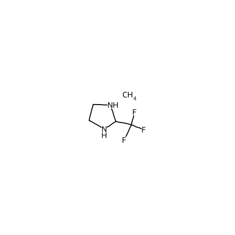 C.FC(F)(F)C1NCCN1